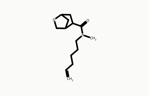 C=CCCCCN(C)C(=O)C1CC2CC1CO2